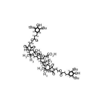 CC(C)(C)c1cc(CCC(=O)OCCN2C(=O)NC3(CC(C)(C)N(CC(O)CC(CCCC(=O)O)(CC(O)CN4C(C)(C)CC5(CC4(C)C)NC(=O)N(CCOC(=O)CCc4cc(C(C)(C)C)c(O)c(C(C)(C)C)c4)C5=O)C(=O)O)C(C)(C)C3)C2=O)cc(C(C)(C)C)c1O